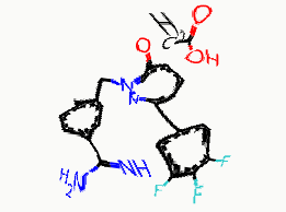 CC(=O)O.N=C(N)c1cccc(Cn2nc(-c3cc(F)c(F)c(F)c3)ccc2=O)c1